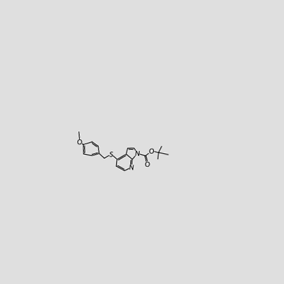 COc1ccc(CSc2ccnc3c2ccn3C(=O)OC(C)(C)C)cc1